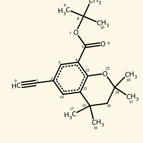 C#Cc1cc(C(=O)OC(C)(C)C)c2c(c1)C(C)(C)CC(C)(C)O2